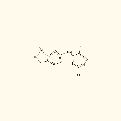 CN1NCc2ccc(Nc3nc(Cl)ncc3F)cc21